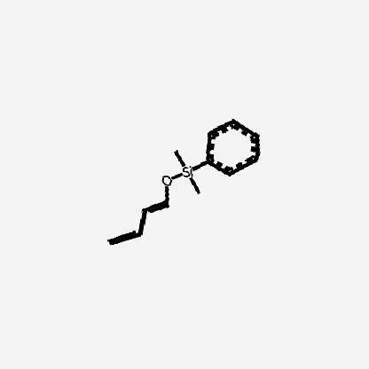 C=CC=CO[Si](C)(C)c1ccccc1